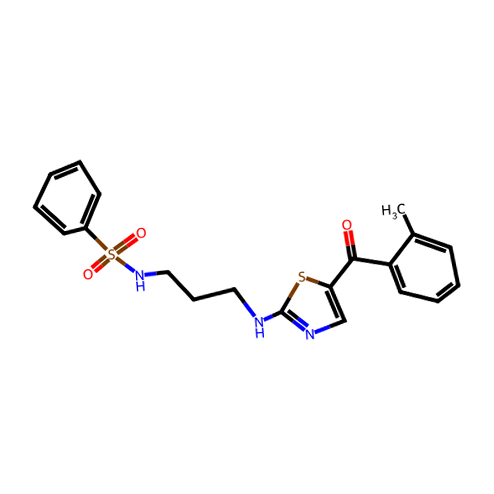 Cc1ccccc1C(=O)c1cnc(NCCCNS(=O)(=O)c2ccccc2)s1